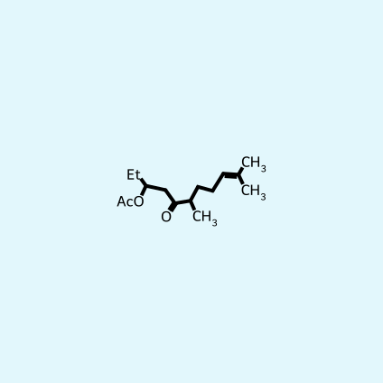 CCC(CC(=O)C(C)CCC=C(C)C)OC(C)=O